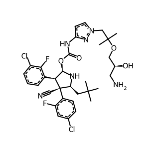 CC(C)(C)C[C@@H]1N[C@H](OC(=O)Nc2ccn(CC(C)(C)OC[C@@H](O)CN)n2)[C@H](c2cccc(Cl)c2F)[C@@]1(C#N)c1ccc(Cl)cc1F